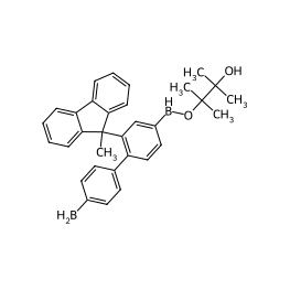 Bc1ccc(-c2ccc(BOC(C)(C)C(C)(C)O)cc2C2(C)c3ccccc3-c3ccccc32)cc1